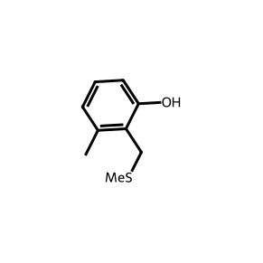 CSCc1c(C)cccc1O